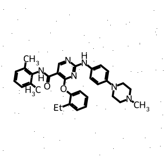 CCc1ccccc1Oc1nc(Nc2ccc(N3CCN(C)CC3)cc2)ncc1C(=O)Nc1c(C)cccc1C